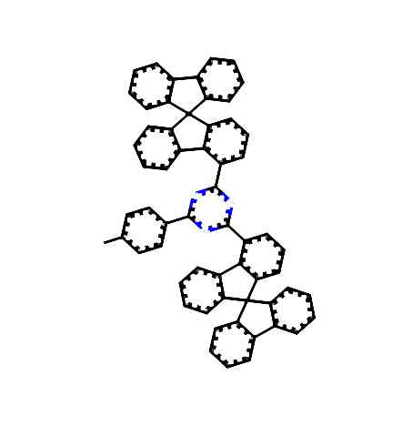 Cc1ccc(-c2nc(-c3cccc4c3-c3ccccc3C43c4ccccc4-c4ccccc43)nc(-c3cccc4c3-c3ccccc3C43c4ccccc4-c4ccccc43)n2)cc1